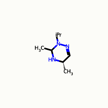 CC(C)N1N=C[C@H](C)NC1C